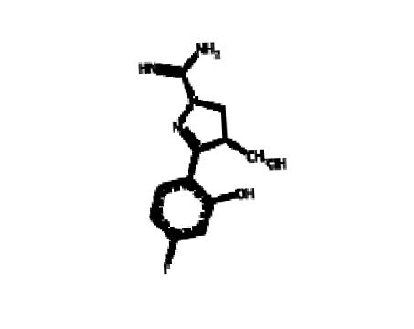 CC1CN(C(=N)N)N=C1c1ccc(F)cc1O.Cl